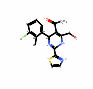 COC(=O)C1=C(CBr)NC(c2nccs2)=NC1c1cccc(F)c1C